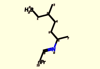 BCC(C)CCC(C)/N=C/CCC